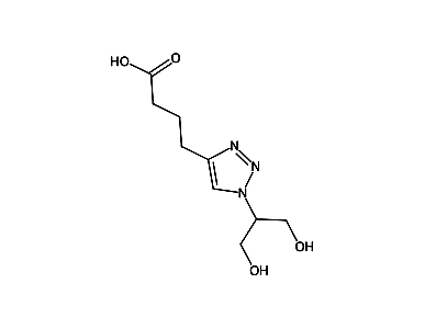 O=C(O)CCCc1cn(C(CO)CO)nn1